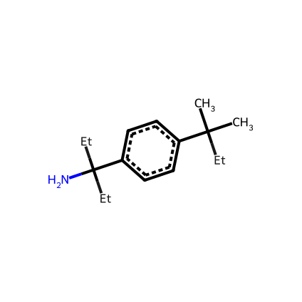 CCC(C)(C)c1ccc(C(N)(CC)CC)cc1